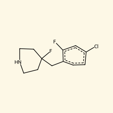 Fc1cc(Cl)ccc1CC1(F)CCNCC1